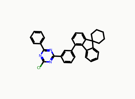 Clc1nc(-c2ccccc2)nc(-c2cccc(-c3cccc4c3-c3ccccc3C43CCCCC3)c2)n1